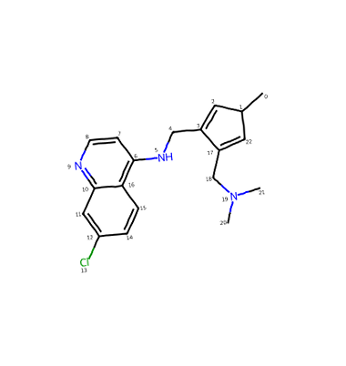 CC1C=C(CNc2ccnc3cc(Cl)ccc23)C(CN(C)C)=C1